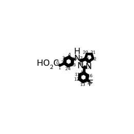 O=C(O)Cc1ccc(Nc2nc(-c3cccc(F)c3)nc3c2CCC3)cc1